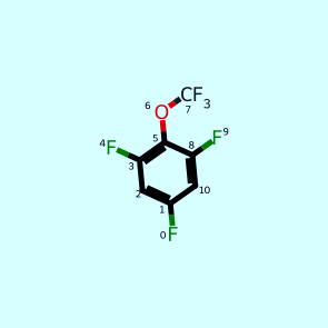 Fc1cc(F)c(OC(F)(F)F)c(F)c1